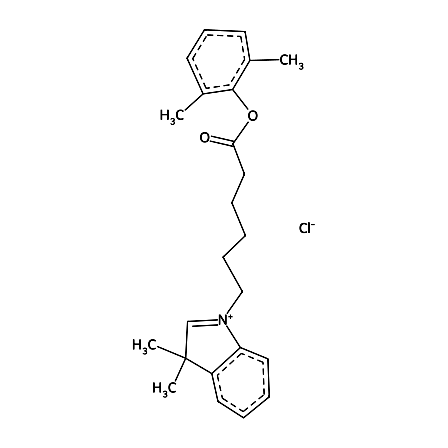 Cc1cccc(C)c1OC(=O)CCCCC[N+]1=CC(C)(C)c2ccccc21.[Cl-]